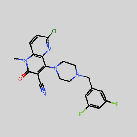 Cn1c(=O)c(C#N)c(N2CCN(Cc3cc(F)cc(F)c3)CC2)c2nc(Cl)ccc21